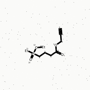 C#CCOC(=O)CCCP(=O)(CC)OCC